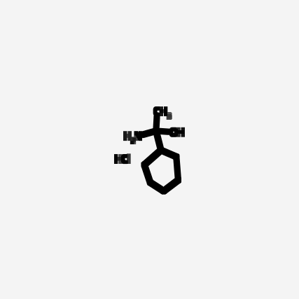 CC(N)(O)C1CCCCC1.Cl